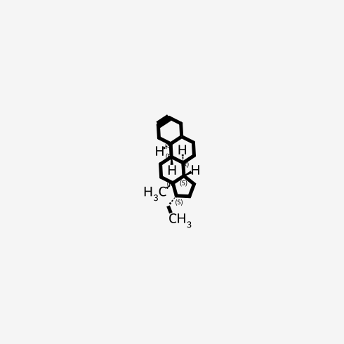 CC[C@H]1CC[C@H]2[C@@H]3CCC4CC#CC[C@@H]4[C@H]3CC[C@]12C